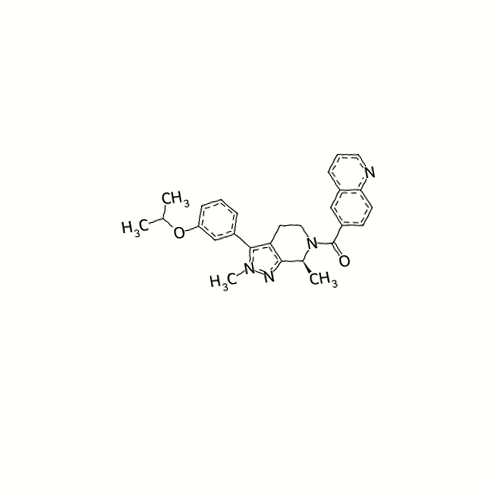 CC(C)Oc1cccc(-c2c3c(nn2C)[C@H](C)N(C(=O)c2ccc4ncccc4c2)CC3)c1